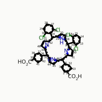 O=C(O)c1ccc(-c2c3nc(c(-c4c(Cl)cccc4Cl)c4ccc([nH]4)c(-c4c(Cl)cccc4Cl)c4nc(c(-c5ccc(C(=O)O)cc5)c5ccc2[nH]5)C=C4)C=C3)cc1